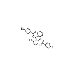 CCc1ccc(C(=O)Oc2c3ccccc3c(OC(=O)c3ccc(CC)cc3)c3c(CC)cccc23)cc1